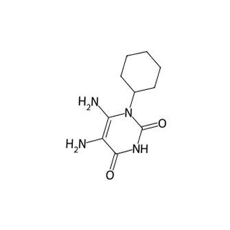 Nc1c(N)n(C2CCCCC2)c(=O)[nH]c1=O